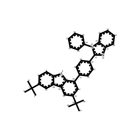 CC(C)(C)c1ccc2sc3c(-c4ccc(-c5nc6ccccc6n5-c5ccccc5)cc4)cc(C(C)(C)C)cc3c2c1